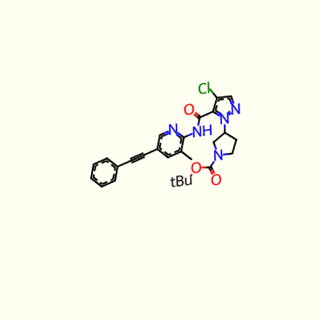 Cc1cc(C#Cc2ccccc2)cnc1NC(=O)c1c(Cl)cnn1C1CCN(C(=O)OC(C)(C)C)C1